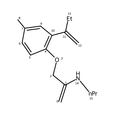 C=C(COc1ccc(C)cc1C(=C)CC)NCCC